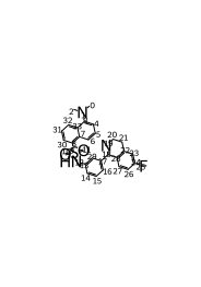 CN(C)c1cccc2c(S(=O)(=O)Nc3cccc(C4=NCCc5cc(F)ccc54)c3)cccc12